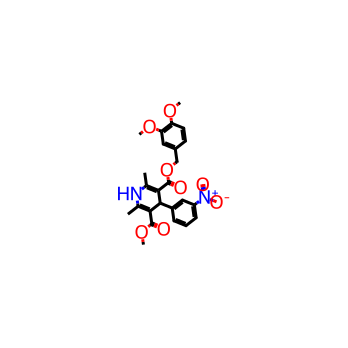 COC(=O)C1=C(C)NC(C)=C(C(=O)OCc2ccc(OC)c(OC)c2)C1c1cccc([N+](=O)[O-])c1